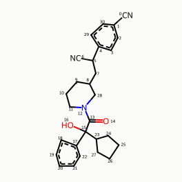 N#Cc1ccc(C(C#N)CC2[CH]CCN(C(=O)C(O)(c3ccccc3)C3CCCC3)C2)cc1